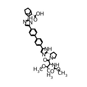 COC(=O)N[C@H](C(=O)N1CCC[C@H]1c1ncc(-c2ccc(-c3ccc(-c4cnc([C@H]5C6CCC(C6)[C@@H]5C(=O)O)[nH]4)cc3)cc2)[nH]1)C(C)OC